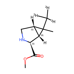 [2H]C([2H])([2H])C1(C)[C@@H]2[C@@H](C(=O)OC)NC[C@@H]21